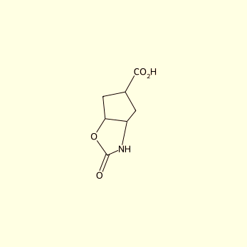 O=C1NC2CC(C(=O)O)CC2O1